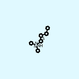 c1ccc(C2=NC(c3ccccc3)NC(c3ccc4sc5c(-c6cccc(-c7ccccc7)c6)cccc5c4c3)=N2)cc1